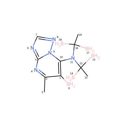 Bc1c(C)nc2ncnn2c1N(C(B)(B)C)C(B)(B)C